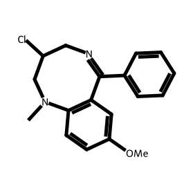 COc1ccc2c(c1)/C(c1ccccc1)=N\CC(Cl)CN2C